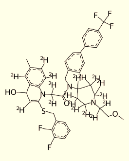 [2H]C1=C(SCc2cccc(F)c2F)N(C([2H])([2H])C(=O)N(Cc2ccc(-c3ccc(C(F)(F)F)cc3)cc2)C2([2H])C([2H])([2H])C([2H])([2H])N(C([2H])([2H])COC)C([2H])([2H])C2([2H])[2H])c2c([2H])c([2H])c(C)c([2H])c2C1O